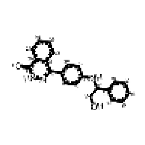 O=c1[nH]nc(-c2ccc(NC(CO)c3ccccc3)cc2)c2ccccc12